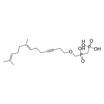 CC(C)=CCCC(C)=CCCC#CCCOCP(=O)(O)CP(=O)(O)O